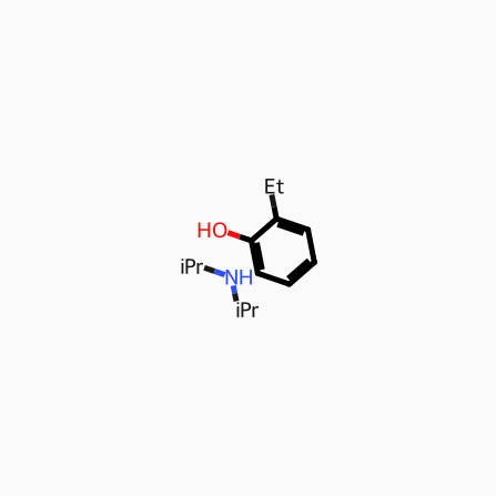 CC(C)NC(C)C.CCc1ccccc1O